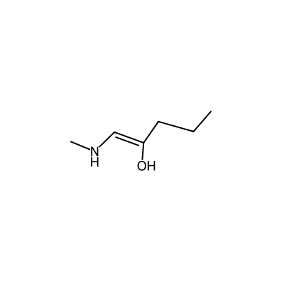 CCCC(O)=CNC